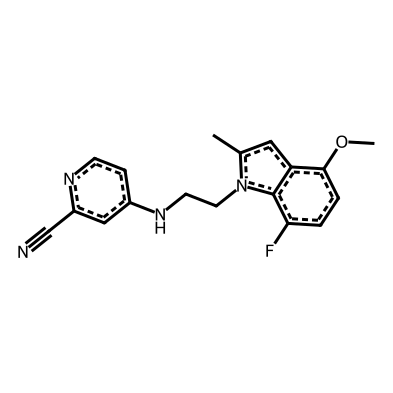 COc1ccc(F)c2c1cc(C)n2CCNc1ccnc(C#N)c1